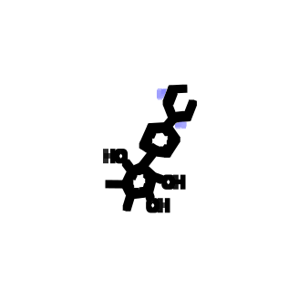 C/C=C\C(=C/C)c1ccc(-c2c(O)c(C)c(C)c(O)c2O)cc1